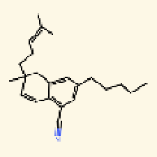 CCCCCc1cc(C#N)c2c(c1)CC(C)(CCC=C(C)C)C=C2